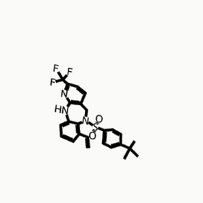 C=Cc1cccc2c1N(S(=O)(=O)c1ccc(C(C)(C)C)cc1)Cc1ccc(C(F)(F)F)nc1N2